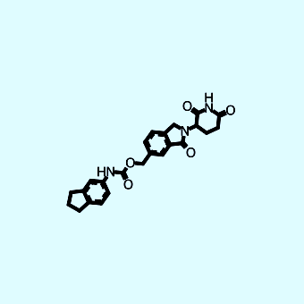 O=C1CCC(N2Cc3ccc(COC(=O)Nc4ccc5c(c4)CCC5)cc3C2=O)C(=O)N1